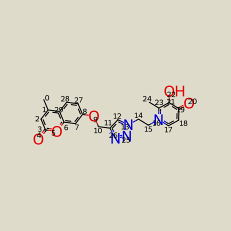 Cc1cc(=O)oc2cc(OCc3cn(CCn4ccc(=O)c(O)c4C)nn3)ccc12